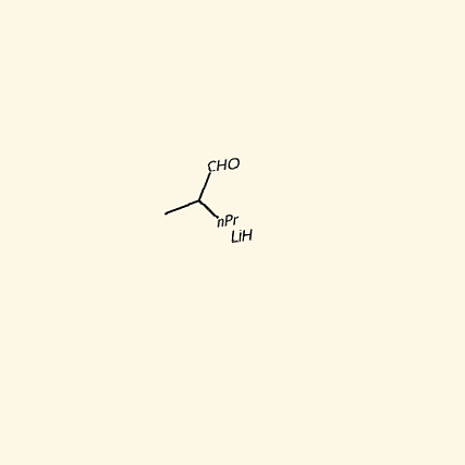 CCCC(C)C=O.[LiH]